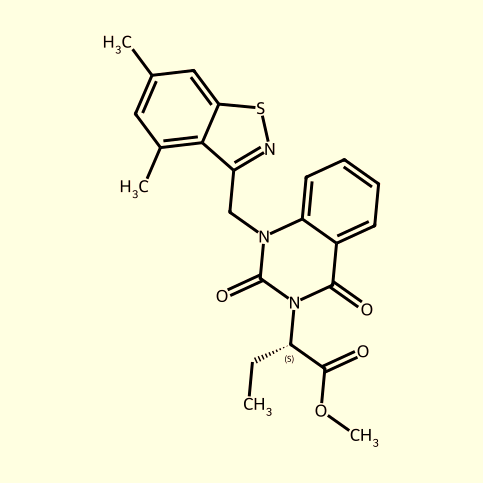 CC[C@@H](C(=O)OC)n1c(=O)c2ccccc2n(Cc2nsc3cc(C)cc(C)c23)c1=O